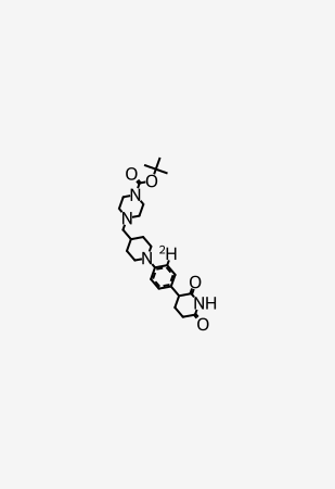 [2H]c1cc(C2CCC(=O)NC2=O)ccc1N1CCC(CN2CCN(C(=O)OC(C)(C)C)CC2)CC1